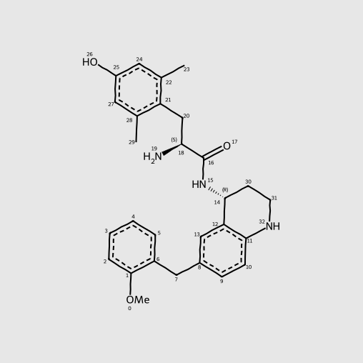 COc1ccccc1Cc1ccc2c(c1)[C@H](NC(=O)[C@@H](N)Cc1c(C)cc(O)cc1C)CCN2